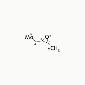 CC1OC1[CH2][Mo]